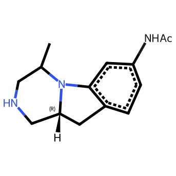 CC(=O)Nc1ccc2c(c1)N1C(C)CNC[C@H]1C2